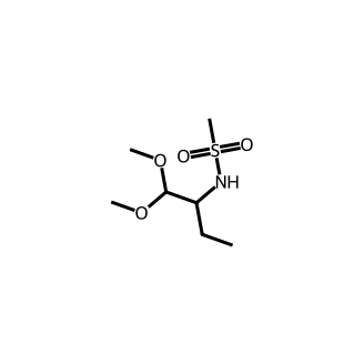 CCC(NS(C)(=O)=O)C(OC)OC